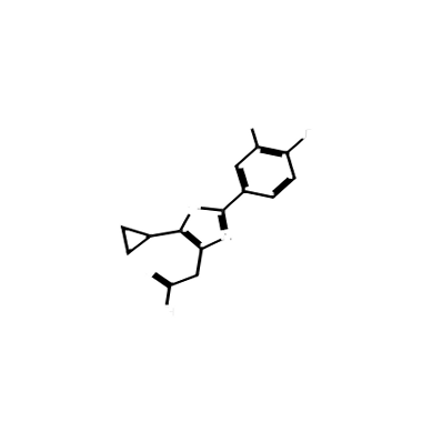 O=C(O)Cc1nc(-c2ccc(F)c(F)c2)oc1C1CC1